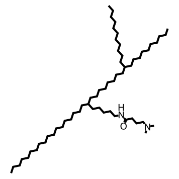 CCCCCCCCCCCCCCCCCCC(CCCCCCCCC(CCCCCCCCCC)CCCCCCCCCCC)CCCCCNC(=O)CCCN(C)C